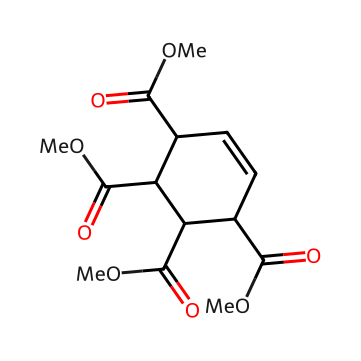 COC(=O)C1C=CC(C(=O)OC)C(C(=O)OC)C1C(=O)OC